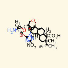 CC(C)[C@@H](C)[C@@]1(C)CCC2(C)[C@H]3CC[C@@H]4[C@@]5(COC[C@@]4(C)[C@@H](OC[C@](C)(N)C(C)C)[C@H](n4nc([N+](=O)[O-])nc4Br)C5)C3=CC[C@@]2(C)[C@@H]1C(=O)O